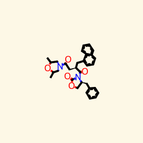 CC1CN(C(=O)C[C@@H](Cc2cccc3ccccc23)C(=O)N2C(=O)OC[C@@H]2Cc2ccccc2)CC(C)O1